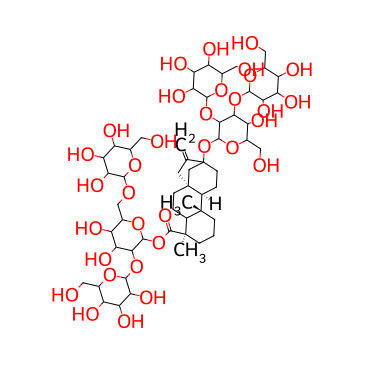 C=C1C[C@@]23CCC4[C@](C)(C(=O)OC5OC(COC6OC(CO)C(O)C(O)C6O)C(O)C(O)C5OC5OC(CO)C(O)C(O)C5O)CCC[C@@]4(C)[C@@H]2CCC1(OC1OC(CO)C(O)C(OC2OC(CO)C(O)C(O)C2O)C1OC1OC(CO)C(O)C(O)C1O)C3